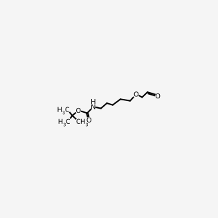 CC(C)(C)OC(=O)NCCCCCOCC=O